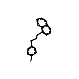 Fc1ccc(CCCc2cccc3ccccc23)cc1